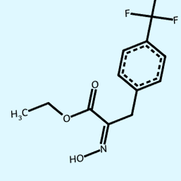 CCOC(=O)/C(Cc1ccc(C(F)(F)F)cc1)=N\O